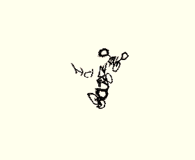 CS(=O)(=O)c1ccc(CN2CCC3(CCN(C[C@H]4CN(C(=O)C5CCCC5)C[C@@H]4c4ccccc4)CC3)C2=O)cc1.Cl